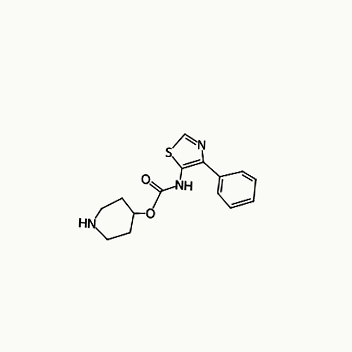 O=C(Nc1scnc1-c1ccccc1)OC1CCNCC1